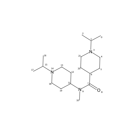 CC(C)N1CCC(C(=O)N(C)C2CCN(C(C)C)CC2)CC1